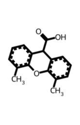 Cc1cccc2c1Oc1c(C)cccc1C2C(=O)O